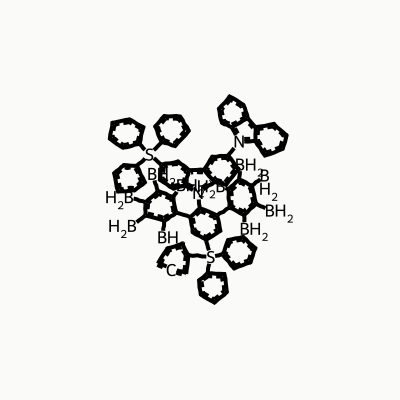 Bc1c(B)c(B)c(-c2cc(S(c3ccccc3)(c3ccccc3)c3ccccc3)cc(-c3c(B)c(B)c(B)c(B)c3B)c2-n2c3ccc(-n4c5ccccc5c5ccccc54)cc3c3cc(S(c4ccccc4)(c4ccccc4)c4ccccc4)ccc32)c(B)c1B